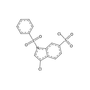 O=S(=O)(Cl)c1ccc2c(Cl)cn(S(=O)(=O)c3ccccc3)c2c1